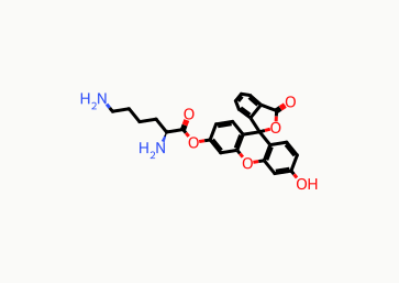 NCCCC[C@H](N)C(=O)Oc1ccc2c(c1)Oc1cc(O)ccc1C21OC(=O)c2ccccc21